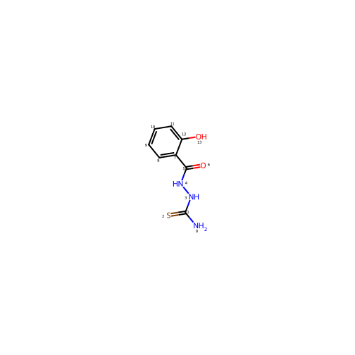 NC(=S)NNC(=O)c1ccccc1O